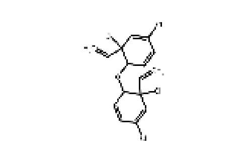 C=CC1(Cl)C=C(Cl)C=CC1OC1C=CC(Cl)=CC1(Cl)C=C